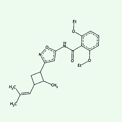 CCOc1cccc(OCC)c1C(=O)Nc1cc(C2CC(C=C(C)C)C2C)no1